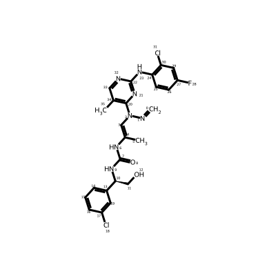 C=NN(/C=C(\C)NC(=O)N[C@@H](CO)c1cccc(Cl)c1)c1nc(Nc2ccc(F)cc2Cl)ncc1C